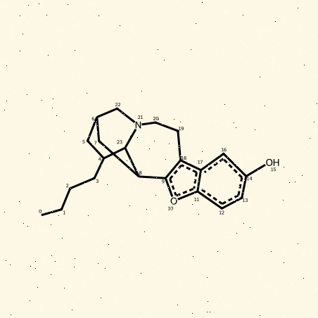 CCCCC1CC2CC3c4oc5ccc(O)cc5c4CCN(C2)C13